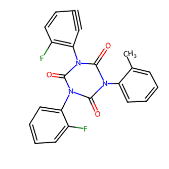 Cc1ccccc1-n1c(=O)n(-c2c#cccc2F)c(=O)n(-c2ccccc2F)c1=O